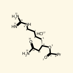 CC(C)C(=O)O[C@@H](CCCCNC(=N)N)CC(N)=O.Cl